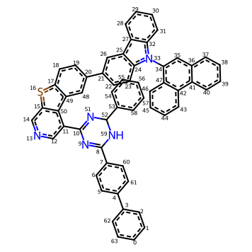 c1ccc(-c2ccc(C3=NC(c4cncc5sc6ccc(-c7ccc8c(c7)c7ccccc7n8-c7cc8ccccc8c8ccccc78)cc6c45)=NC(c4ccccc4)N3)cc2)cc1